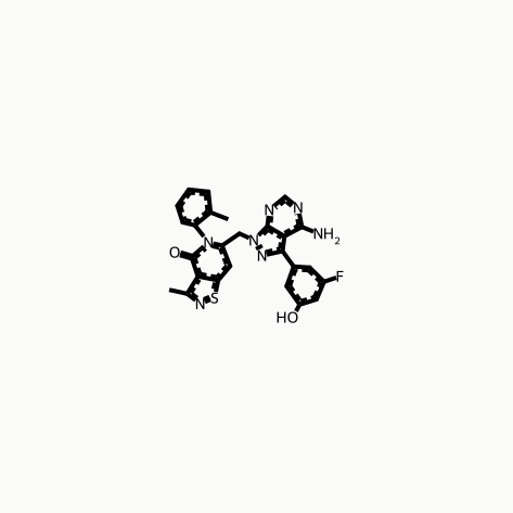 Cc1ccccc1-n1c(Cn2nc(-c3cc(O)cc(F)c3)c3c(N)ncnc32)cc2snc(C)c2c1=O